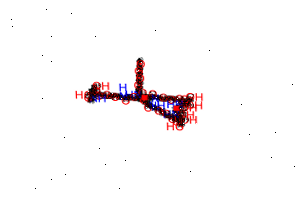 CCOCCOCCOCCOCCC(=O)NC(COCCC(=O)NCCOCCOCCOC1OC(CO)CC(O)C1NC(C)=O)(COCCC(=O)NCCOCCOCCOC1OC(CO)C(O)C(O)C1NC(C)=O)COCCC(=O)NCCOCCOCCOC1OC(CO)C(O)C(O)C1NC(C)=O